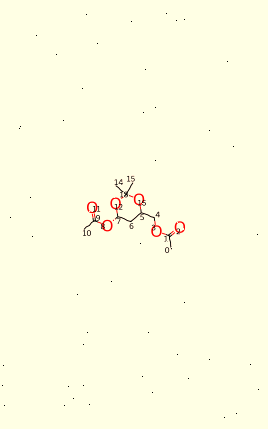 CC(=O)OCC1CC(OC(C)=O)OC(C)(C)O1